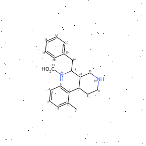 Cc1ccccc1C1CCNCC1C(Cc1ccccc1)NC(=O)O